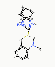 CN(C)c1ccccc1CSc1nc2ccccc2[nH]1